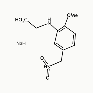 COc1ccc(C[SH](=O)=O)cc1NCC(=O)O.[NaH]